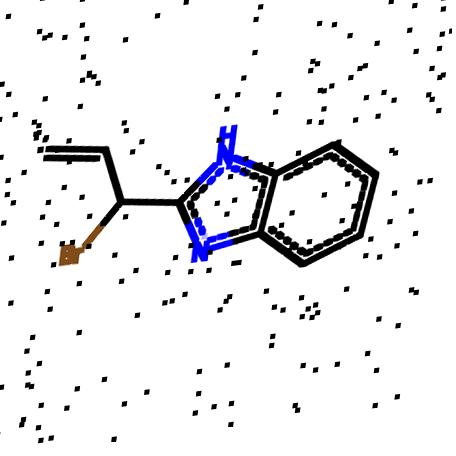 [CH]=CC(Br)c1nc2ccccc2[nH]1